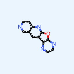 c1cc2nc3oc4nccnc4c3cc2cn1